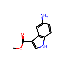 COC(=O)c1c[nH]c2ccc(N)cc12